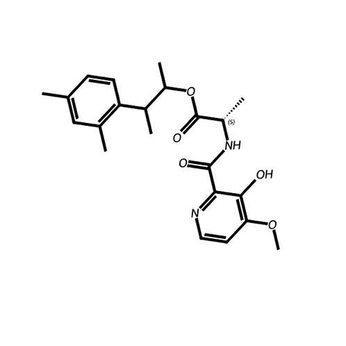 COc1ccnc(C(=O)N[C@@H](C)C(=O)OC(C)C(C)c2ccc(C)cc2C)c1O